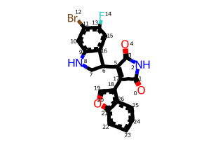 O=C1NC(=O)C(C2CNc3cc(Br)c(F)cc32)=C1c1coc2ccccc12